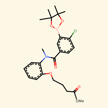 COC(=O)CCCOc1ccccc1N(C)C(=O)c1ccc(Cl)c(B2OC(C)(C)C(C)(C)O2)c1